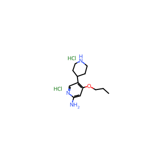 CCCOc1cc(N)ncc1C1CCNCC1.Cl.Cl